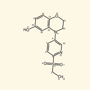 CCS(=O)(=O)c1ccc(N2CCOc3ccc(O)cc32)cn1